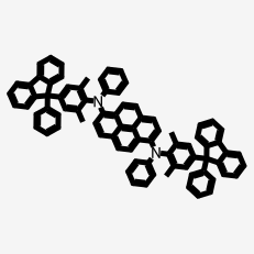 Cc1cc(C2(c3ccccc3)c3ccccc3-c3ccccc32)cc(C)c1N(c1ccccc1)c1ccc2ccc3c(N(c4ccccc4)c4c(C)cc(C5(c6ccccc6)c6ccccc6-c6ccccc65)cc4C)ccc4ccc1c2c43